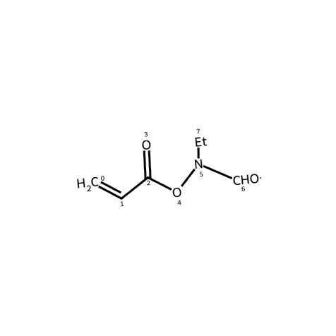 C=CC(=O)ON([C]=O)CC